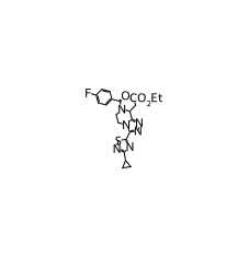 CCOC(=O)CC1c2nnc(-c3nc(C4CC4)ns3)n2CCN1C(=O)c1ccc(F)cc1